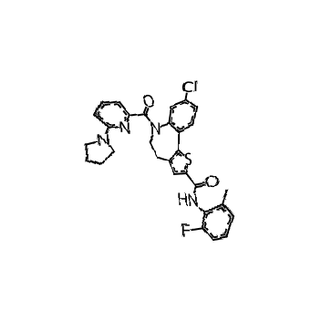 Cc1cccc(F)c1NC(=O)c1cc2c(s1)-c1ccc(Cl)cc1N(C(=O)c1cccc(N3CCCC3)n1)CC2